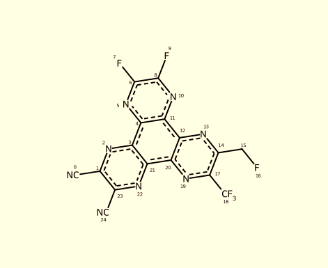 N#Cc1nc2c3nc(F)c(F)nc3c3nc(CF)c(C(F)(F)F)nc3c2nc1C#N